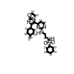 O=S(=O)(NCCNc1nccc(-c2c(-c3ccc(F)cc3)nc3occn23)n1)c1ccccc1